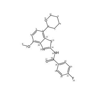 COc1ccc(C2CCCCO2)c2sc(NC(=O)c3ccc(F)cc3)nc12